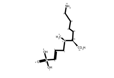 CN(CC=CP(=O)(O)O)[C@@H](CCCCN)C(=O)O